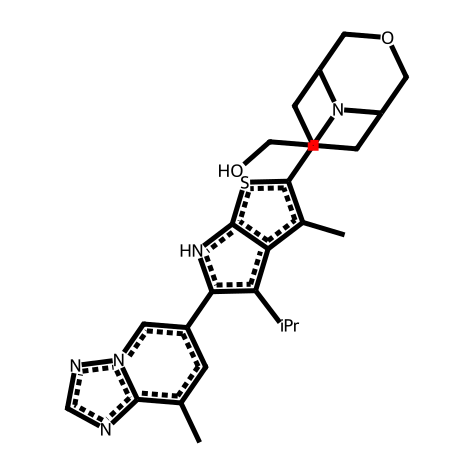 Cc1c(C2CC3COCC(C2)N3CCO)sc2[nH]c(-c3cc(C)c4ncnn4c3)c(C(C)C)c12